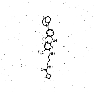 O=C(NCCCNc1nc(Nc2ccc(N3CCN4CCC3C4)cc2Cl)ncc1C(F)(F)F)C1CCC1